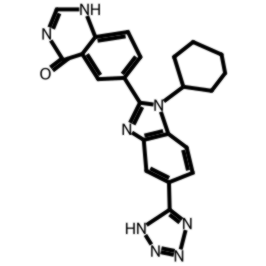 O=c1nc[nH]c2ccc(-c3nc4cc(-c5nnn[nH]5)ccc4n3C3CCCCC3)cc12